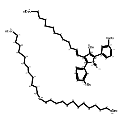 CCCCCCCCCCCCCCCCCCCCC=CC1=C(c2cccc(CCCC)c2)[N+](=[N-])C(c2cccc(CCCC)c2)=C1CCCC.CCCCCCCCCCCCCCCCCCCCC[CH2][Ni][CH2]CCCCCCCCCCCCCCCCCCCCC